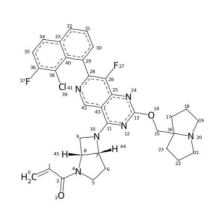 C=CC(=O)N1CC[C@@H]2[C@H]1CN2c1nc(OCC23CCCN2CCC3)nc2c(F)c(-c3cccc4ccc(F)c(Cl)c34)ncc12